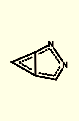 c1nnc2cc1-2